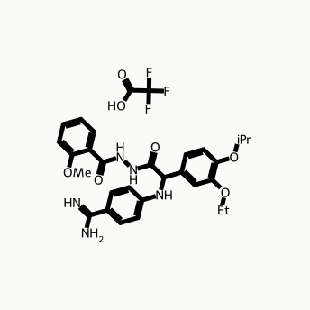 CCOc1cc(C(Nc2ccc(C(=N)N)cc2)C(=O)NNC(=O)c2ccccc2OC)ccc1OC(C)C.O=C(O)C(F)(F)F